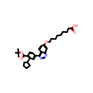 CC(C)(C)OC(=O)c1ccc(-c2ncnc3cc(OCCCCCCCCC(=O)O)ccc23)cc1C1CCCC1